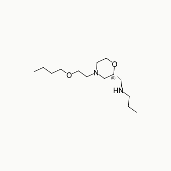 CCCCOCCN1CCO[C@H](CNCCC)C1